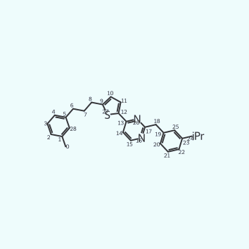 Cc1cccc(CCCc2ccc(-c3ccnc(Cc4cccc(C(C)C)c4)n3)s2)c1